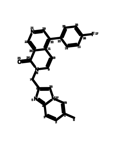 Cc1ccc2nc(Cn3ccc4c(-c5ccc(F)cc5)cncc4c3=O)cn2c1